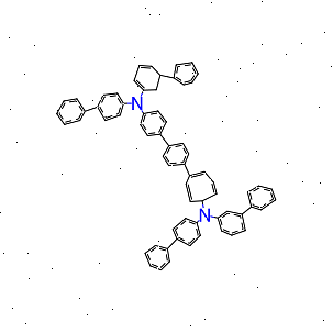 C1=CC(c2ccccc2)CC(N(c2ccc(-c3ccccc3)cc2)c2ccc(-c3ccc(C4=CC=CC(N(c5ccc(-c6ccccc6)cc5)c5cccc(-c6ccccc6)c5)C=C4)cc3)cc2)=C1